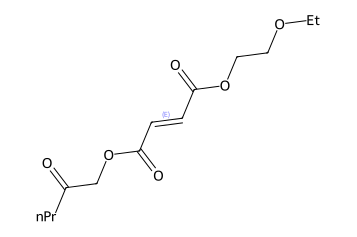 CCCC(=O)COC(=O)/C=C/C(=O)OCCOCC